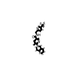 Cc1cc(C(=O)NCc2ccc(C(F)(F)F)cn2)cnc1N1CCc2ncccc2C1